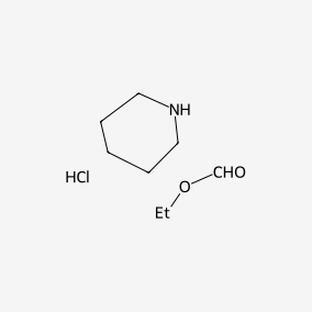 C1CCNCC1.CCOC=O.Cl